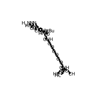 C#CCOCC(COCC#C)(COCC#C)NC(=O)CCOCCOCCOCCOCCOCCOCCNC(=O)CCC(NC(=O)c1ccc(N(Cc2cnc3nc(N)[nH]c(=O)c3n2)C(=O)C(F)(F)F)cc1)C(=O)OC(C)(C)C